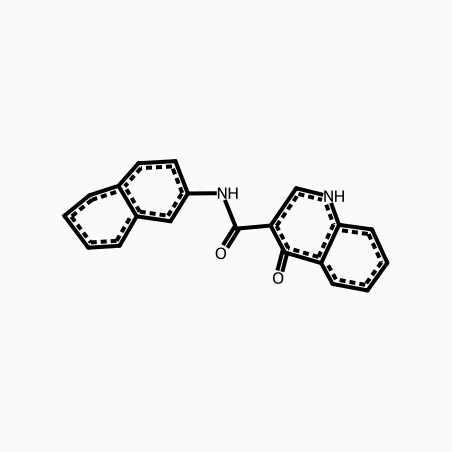 O=C(Nc1ccc2ccccc2c1)c1c[nH]c2ccccc2c1=O